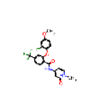 CN/C=C\C(=C/C=O)NC(=O)c1ccc(C(F)(F)F)cc1Oc1ccc(OC)cc1F